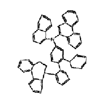 C1=CCC(c2cc(N(c3cccc4ccccc34)c3cc4ccccc4c4ccccc34)ccc2-c2ccccc2C2CCc3ccccc3-c3ccccc32)C=C1